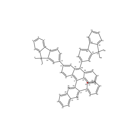 CC1(C)c2ccccc2-c2ccc(-c3ccc4c(-c5nc6ccccc6nc5-c5ccccc5)c5ccccc5c(-c5ccc6c(c5)C(C)(C)c5ccccc5-6)c4c3)cc21